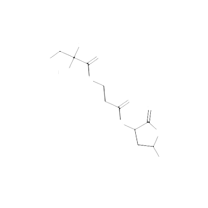 CCC(C)(C)C(=O)OCCC(=O)OC1CC(C)OC1=O